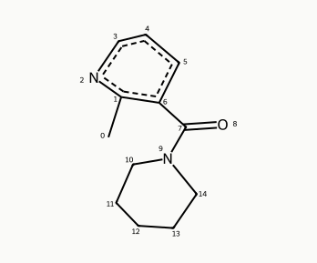 Cc1ncccc1C(=O)N1CCCCC1